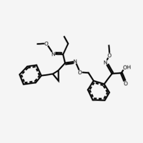 CCC(=N\OC)/C(=N/OCc1ccccc1/C(=N/OC)C(=O)O)C1CC1c1ccccc1